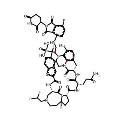 CC(C)(C)c1ccc(C[C@H](NC(=O)[C@H](CCC(N)=O)NC(=O)[C@@H]2CC[C@@H]3CCN(CC(F)F)C[C@H](NC(=O)c4cc5cc(C(F)(F)P(=O)(O)O)ccc5s4)C(=O)N32)C(=O)N2CCN(CCNc3ccc(F)c4c3C(=O)N(C3CCC(=O)NC3=O)C4=O)CC2)cc1